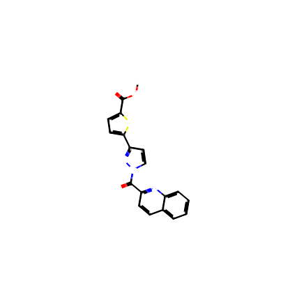 COC(=O)c1ccc(-c2ccn(C(=O)c3ccc4ccccc4n3)n2)s1